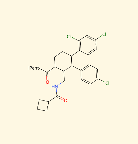 CCCC(C)C(=O)C1CCC(c2ccc(Cl)cc2Cl)C(c2ccc(Cl)cc2)C1CNC(=O)C1CCC1